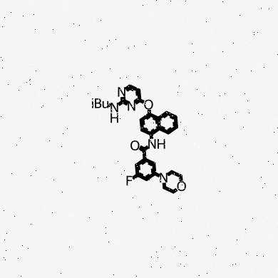 CCC(C)Nc1nccc(Oc2ccc(NC(=O)c3cc(F)cc(N4CCOCC4)c3)c3ccccc23)n1